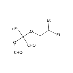 CCCC([C]=O)(O[C]=O)OCC(CC)CC